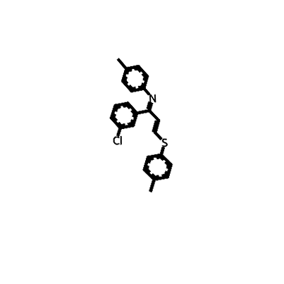 Cc1ccc(/N=C(/C=C/Sc2ccc(C)cc2)c2cccc(Cl)c2)cc1